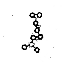 C1=CC2C(CC1)c1ccccc1N2c1ccc2c(c1)oc1cc(-c3cccc4oc5c(C6=NC(c7ccccc7)NC(c7ccccc7)=N6)cccc5c34)ccc12